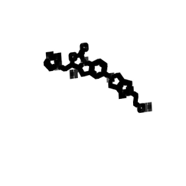 O=C1OC(Cn2ccnn2)[C@@H]2Cc3cc(N4Cc5cn(CCO)nc5C4)ccc3N12